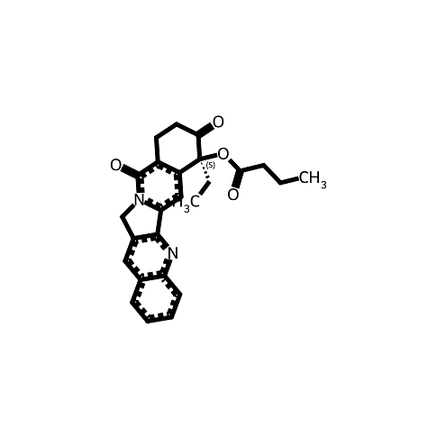 CCCC(=O)O[C@]1(CC)C(=O)CCc2c1cc1n(c2=O)Cc2cc3ccccc3nc2-1